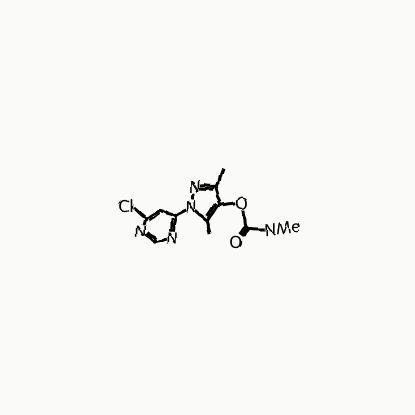 CNC(=O)Oc1c(C)nn(-c2cc(Cl)ncn2)c1C